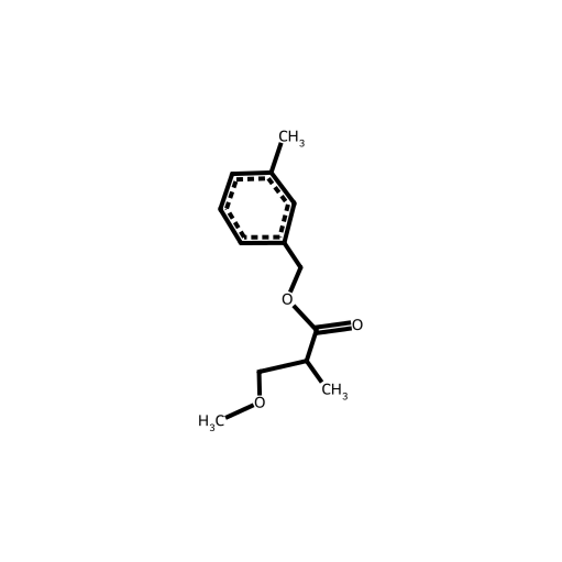 COCC(C)C(=O)OCc1cccc(C)c1